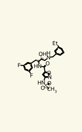 CCc1cccc(CNC[C@@H](O)[C@H](Cc2cc(F)cc(F)c2)NC(=O)c2cc(NS(C)(=O)=O)no2)c1